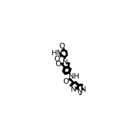 Cn1ncc2cc(C(=O)Nc3ccc4c(c3)CN(C3CCC(=O)NC3=O)C4=O)cnc21